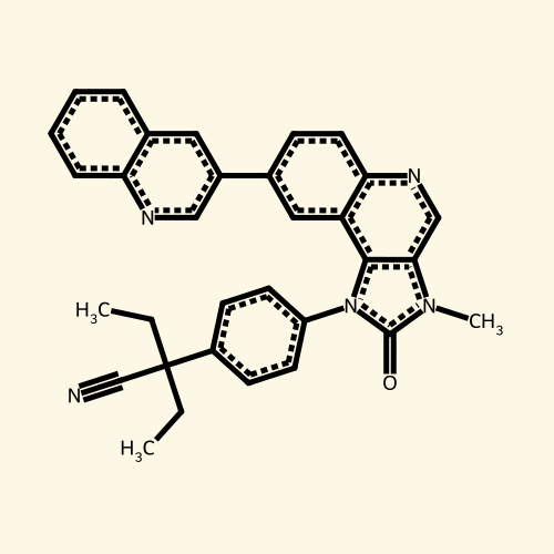 CCC(C#N)(CC)c1ccc(-n2c(=O)n(C)c3cnc4ccc(-c5cnc6ccccc6c5)cc4c32)cc1